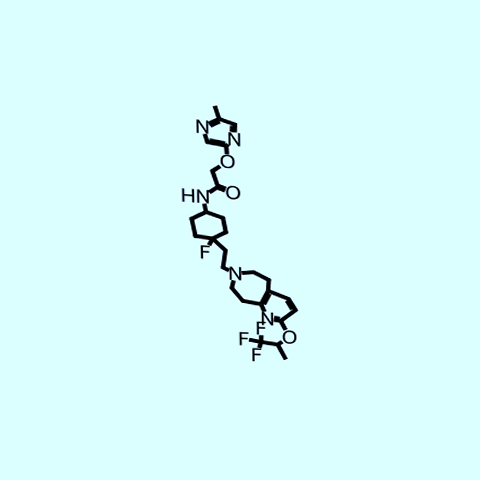 Cc1cnc(OCC(=O)NC2CCC(F)(CCN3CCc4ccc(OC(C)C(F)(F)F)nc4CC3)CC2)cn1